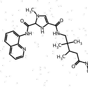 CC(CC(=O)NO)C(C)(C)CNC(=O)C1=CN(C)C(C(=O)Nc2cccc3cccnc23)N1